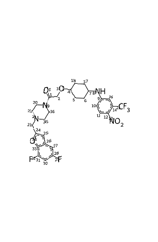 O=C(COC1CCC(Nc2ccc([N+](=O)[O-])c(C(F)(F)F)c2)CC1)N1CCN(Cc2cc3cc(F)cc(F)c3o2)CC1